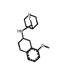 COc1cccc2c1CC(NC1CN3CCC1CC3)CC2